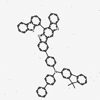 CC1(C)c2ccccc2-c2ccc(N(c3ccc(-c4ccccc4)cc3)c3ccc(-c4ccc5oc6c(-c7cccc8c7sc7ccccc78)c7c(cc6c5c4)oc4ccccc47)cc3)cc21